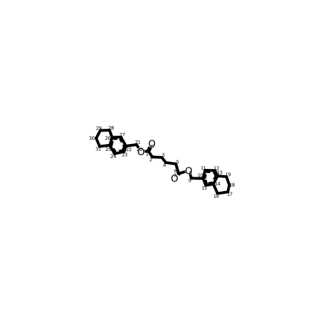 O=C(CCCCC(=O)OCc1ccc2c(c1)CCCC2)OCc1ccc2c(c1)CCCC2